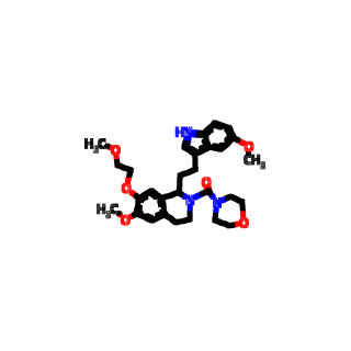 COCCOc1cc2c(cc1OC)CCN(C(=O)N1CCOCC1)C2CCc1c[nH]c2ccc(OC)cc12